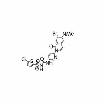 CNc1cc2ccn(-c3ccc(NC(=O)NS(=O)(=O)c4ccc(Cl)s4)cn3)c(=O)c2cc1Br